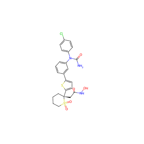 NC(=O)N(c1ccc(Cl)cc1)c1cccc(-c2ccc([C@@]3(CC(=O)NO)CCCCS3(=O)=O)s2)c1